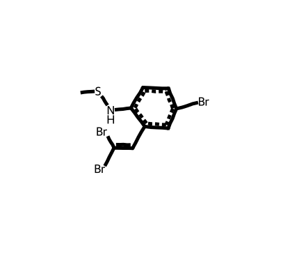 CSNc1ccc(Br)cc1C=C(Br)Br